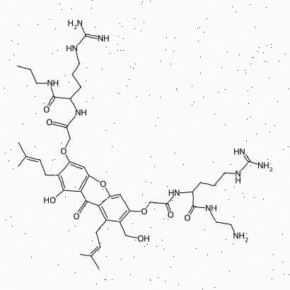 CCCNC(=O)C(CCCNC(=N)N)NC(=O)COc1cc2oc3cc(OCC(=O)NC(CCCNC(=N)N)C(=O)NCCN)c(CO)c(CC=C(C)C)c3c(=O)c2c(O)c1CC=C(C)C